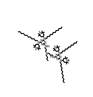 CCCCCCCCCCCCN(c1nc(NCCCN(CCCC)CCCNc2nc(N(CCCCCCCCCCCC)C3CC(C)(C)N(C)C(C)(C)C3)nc(N(CCCCCCCCCCCC)C3CC(C)(C)N(C)C(C)(C)C3)n2)nc(N(CCCCCCCCCCCC)C2CC(C)(C)N(C)C(C)(C)C2)n1)C1CC(C)(C)N(C)C(C)(C)C1